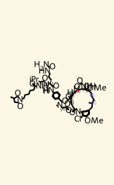 COc1cc2cc(c1Cl)N(C)C(=O)C[C@H](OC(=O)[C@H](C)N(C)C(=O)c1ccc(NC(=O)[C@H](CCCNC(N)=O)NC(=O)[C@@H](NC(=O)CCCCCN3C(=O)CC(C)C3=O)C(C)C)cc1)[C@]1(C)O[C@H]1[C@H](C)[C@@H]1C[C@@](O)(NC(=O)O1)[C@H](OC)/C=C/C=C(\C)C2